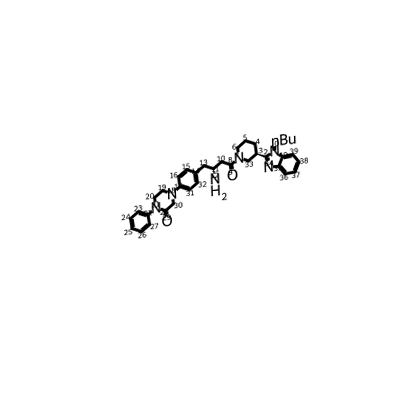 CCCCn1c([C@@H]2CCCN(C(=O)C[C@H](N)Cc3ccc(N4CCN(c5ccccc5)C(=O)C4)cc3)C2)nc2ccccc21